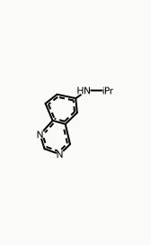 CC(C)Nc1ccc2ncncc2c1